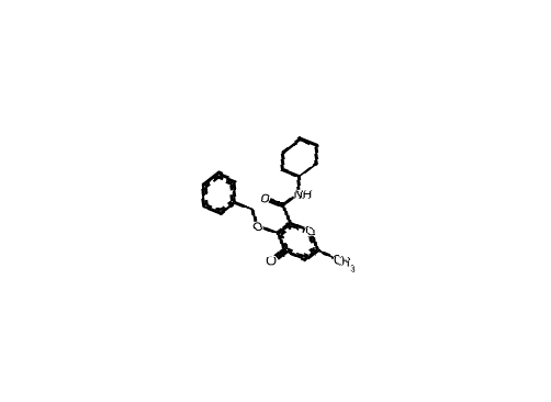 Cc1cc(=O)c(OCc2ccccc2)c(C(=O)NC2CCCCC2)o1